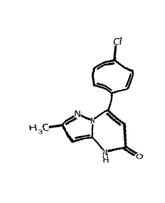 Cc1cc2[nH]c(=O)cc(-c3ccc(Cl)cc3)n2n1